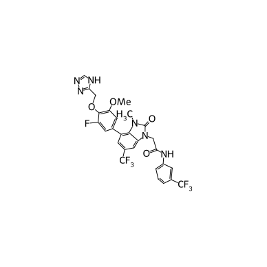 COc1cc(-c2cc(C(F)(F)F)cc3c2n(C)c(=O)n3CC(=O)Nc2cccc(C(F)(F)F)c2)cc(F)c1OCc1nnc[nH]1